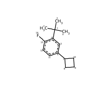 CC(C)(C)c1cc(C2C[CH]C2)ccc1F